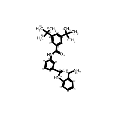 CC(C)(C)c1cc(C(=O)Nc2cccc(C(=O)Nc3ccccc3CN)c2)cc(C(C)(C)C)c1